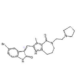 Cc1c(/C=C2\C(=O)Nc3ccc(Br)cc32)[nH]c2c1C(=O)N(CCN1CCCC1)CCC2